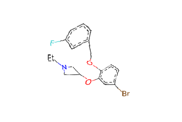 CCN1CC(Oc2cc(Br)ccc2OCc2cccc(F)c2)C1